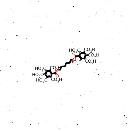 O=C(O)c1c(C(=O)O)c(C(=O)O)c(C(=O)OCCCCCCOC(=O)c2c(C(=O)O)c(C(=O)O)c(C(=O)O)c(C(=O)O)c2C(=O)O)c(C(=O)O)c1C(=O)O